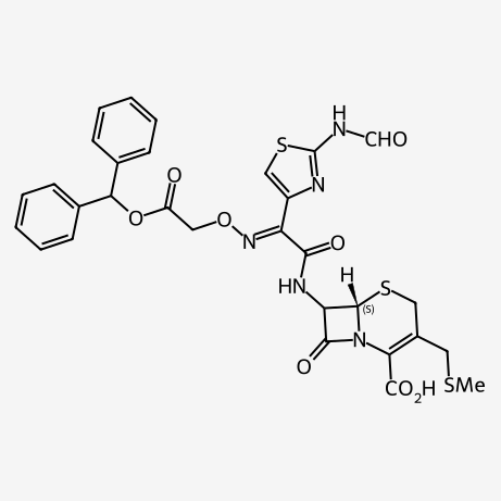 CSCC1=C(C(=O)O)N2C(=O)C(NC(=O)C(=NOCC(=O)OC(c3ccccc3)c3ccccc3)c3csc(NC=O)n3)[C@@H]2SC1